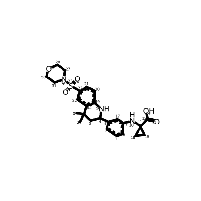 CC1(C)CC(c2cccc(NC3(C(=O)O)CC3)c2)Nc2ccc(S(=O)(=O)N3CCOCC3)cc21